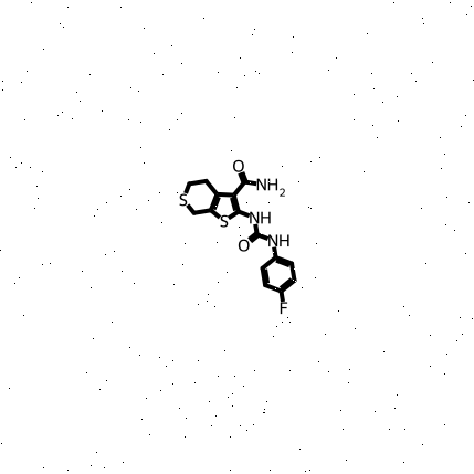 NC(=O)c1c(NC(=O)Nc2ccc(F)cc2)sc2c1CCSC2